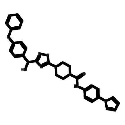 O=C(Nc1ccc(-n2cccc2)cc1)N1CCN(c2nc(C(O)c3ccc(Oc4ccccc4)cc3)ns2)CC1